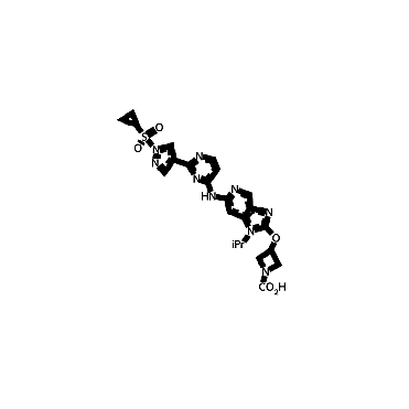 CC(C)n1c(OC2CN(C(=O)O)C2)nc2cnc(Nc3ccnc(-c4cnn(S(=O)(=O)C5CC5)c4)n3)cc21